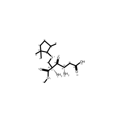 COC(=O)[C@@](N)(CSC1C(C)CCC1(C)C)C(=O)[C@@H](N)CC(=O)O